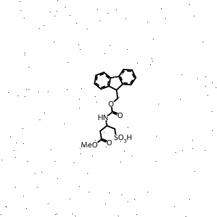 COC(=O)CC(CS(=O)(=O)O)NC(=O)OCC1c2ccccc2-c2ccccc21